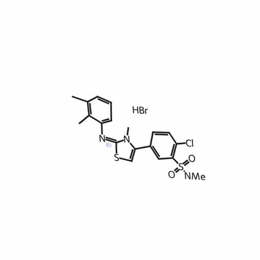 Br.CNS(=O)(=O)c1cc(-c2cs/c(=N/c3cccc(C)c3C)n2C)ccc1Cl